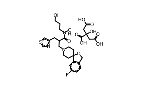 CN(CCCO)C(=O)C(Cc1cscn1)CN1CCC2(CC1)OCc1ccc(F)cc12.O=C(O)CC(O)(CC(=O)O)C(=O)O